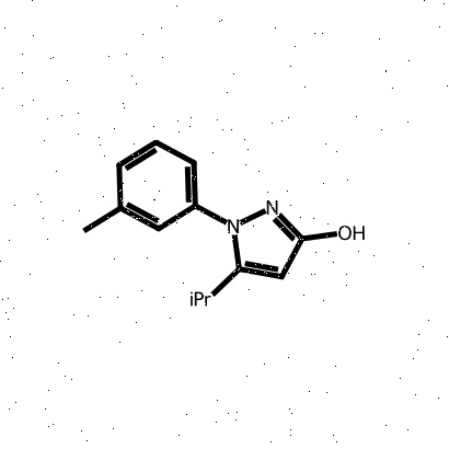 Cc1cccc(-n2nc(O)cc2C(C)C)c1